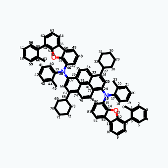 Cc1ccccc1-c1cccc2c1oc1c(N(c3ccccc3C)c3cc(C4CCCCC4)c4ccc5c(N(c6ccccc6C)c6cccc7c6oc6c(-c8ccccc8C)cccc67)cc(C6CCCCC6)c6ccc3c4c65)cccc12